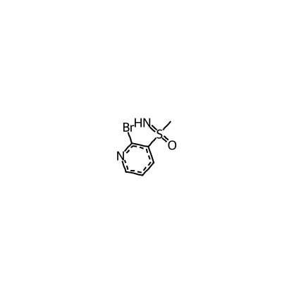 CS(=N)(=O)c1cccnc1Br